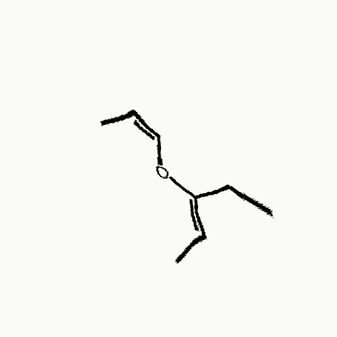 C/C=C\O/C(=C\C)CC